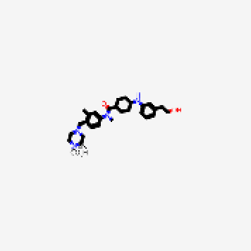 Cc1cc(N(C)C(=O)C2CCC(Nc3cccc(CCO)c3)CC2)ccc1CN1CCN(C(=O)O)[C@@H](C)C1